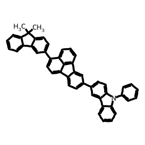 CC1(C)c2ccccc2-c2cc(-c3ccc4c5c(cccc35)-c3cc(-c5ccc6c(c5)c5ccccc5n6-c5ccccc5)ccc3-4)ccc21